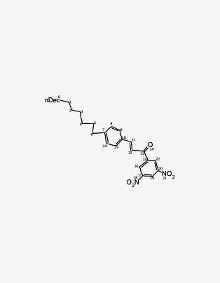 CCCCCCCCCCCCCCCCc1ccc(C=CC(=O)c2cc([N+](=O)[O-])cc([N+](=O)[O-])c2)cc1